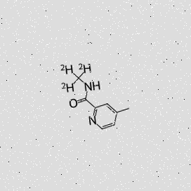 [2H]C([2H])([2H])NC(=O)c1cc(C)ccn1